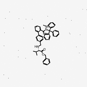 CNN(C(=N)c1ccccc1-c1ccc(CN[C@H](C(=O)OCc2ccccc2)C(C)C)cc1)C(c1ccccc1)(c1ccccc1)c1ccccc1